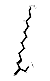 [C]=C(C=CCCCCCCCCCC)CC